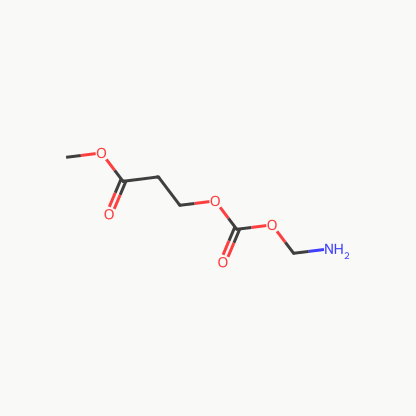 COC(=O)CCOC(=O)OCN